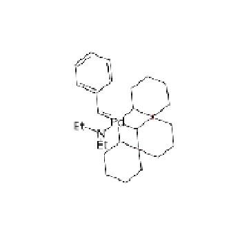 CC[N](CC)[Pd](=[CH]c1ccccc1)([CH]1CCCCC1)([CH]1CCCCC1)[CH]1CCCCC1